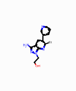 CCc1nc2c(cc1-c1cccnc1)c(N)nn2CCO